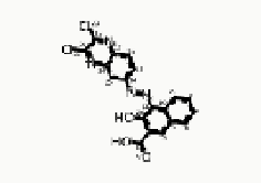 O=C(O)c1cc2ccccc2c(N=Nc2ccc3nc(Cl)c(Cl)nc3c2)c1O